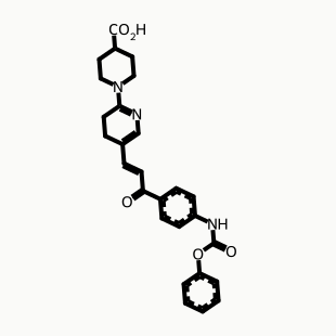 O=C(Nc1ccc(C(=O)C=CC2=CN=C(N3CCC(C(=O)O)CC3)CC2)cc1)Oc1ccccc1